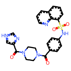 O=C(c1ccc(NS(=O)(=O)c2cccc3cccnc23)cc1)N1CCN(C(=O)c2c[nH]cn2)CC1